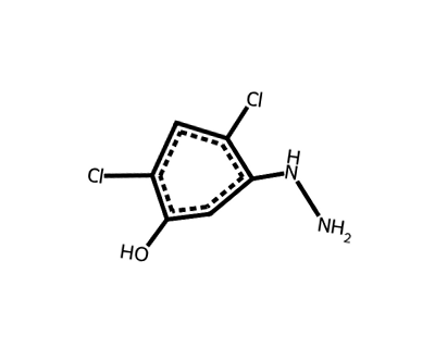 NNc1cc(O)c(Cl)cc1Cl